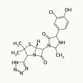 CC1NC(c2ccc(O)c(Cl)c2)C(=O)N1C1C(=O)N2C(c3nnn[nH]3)C(C)(C)S[C@H]12